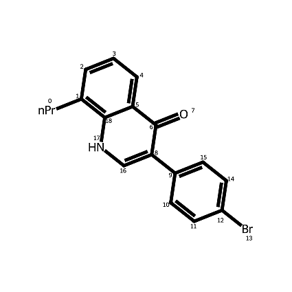 CCCc1cccc2c(=O)c(-c3ccc(Br)cc3)c[nH]c12